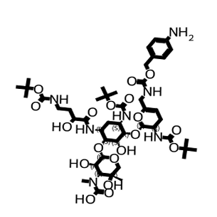 CN(C(=O)O)[C@@H]1[C@@H](O)[C@@H](O[C@@H]2[C@@H](O)[C@H](O[C@H]3OC(CNC(=O)OCc4ccc(N)cc4)=CC[C@H]3NC(=O)OC(C)(C)C)[C@@H](NC(=O)OC(C)(C)C)C[C@H]2NC(=O)C(O)CCNC(=O)OC(C)(C)C)OC[C@]1(C)O